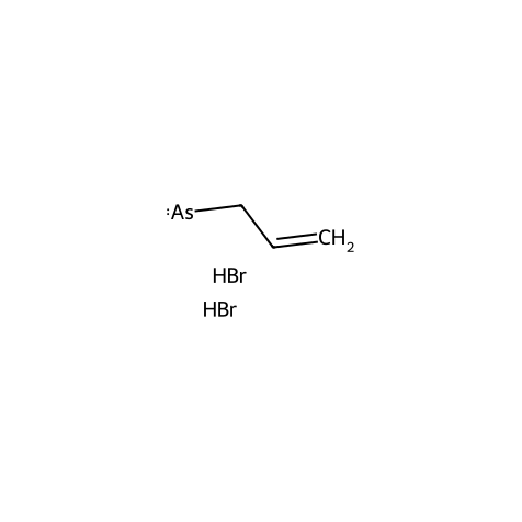 Br.Br.C=CC[As]